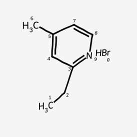 Br.CCc1cc(C)ccn1